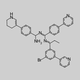 CC/C(=N\C(=N/C(N)c1ccc(C2=CNCCC2)cc1)c1ccc(-c2cccnc2)cc1)c1cc(Br)cc(-c2cccnc2)c1